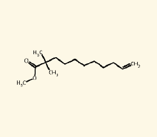 C=CCCCCCCCC(C)(C)C(=O)OC